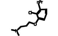 C[CH]Cc1cccc(OCCCN(C)C)c1Cl